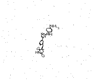 NC1CCC(Nc2cncc(-c3cccc(C=C4SC(=O)NC4=O)c3)n2)CC1